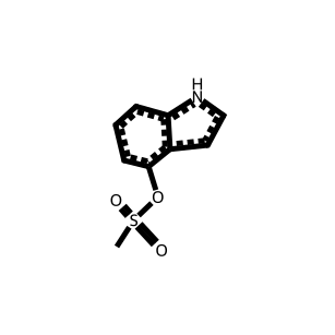 CS(=O)(=O)Oc1cccc2[nH]ccc12